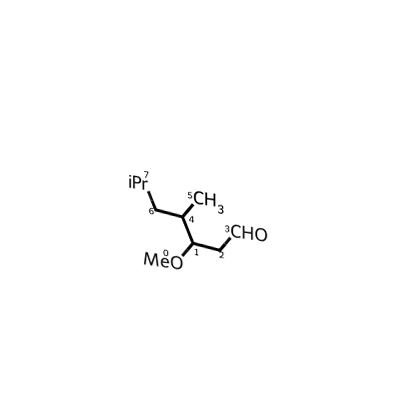 COC(CC=O)C(C)CC(C)C